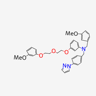 COc1cccc(CN(Cc2ccc(-n3cccn3)cc2)c2cccc(OCCOCCOc3cccc(OC)c3)c2)c1